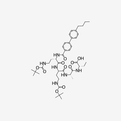 CCCCc1ccc(-c2ccc(C(=O)N[C@@H](CCNC(=O)OC(C)(C)C)C(=O)NC(CCNC(=O)OC(C)(C)C)C(=O)N[C@@H](C)C(=O)N[C@@H](CC)C(=O)O)cc2)cc1